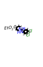 CCOC(=O)C1CCN(c2nc3cc(Cl)c(Cl)cc3[nH]2)CC1